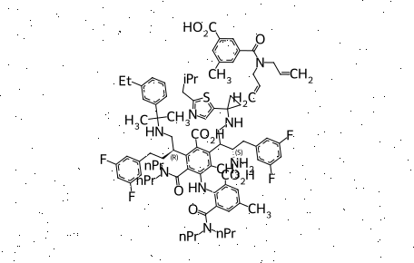 C=CCN(CC=C)C(=O)c1cc(C)cc(C(=O)O)c1.CCCN(CCC)C(=O)c1cc(C)cc(C(=O)O)c1Nc1c(C)c(C(CNC2(c3cnc(CC(C)C)s3)CC2)[C@@H](N)Cc2cc(F)cc(F)c2)c(C(=O)O)c([C@@H](CCc2cc(F)cc(F)c2)CNC(C)(C)c2cccc(CC)c2)c1C(=O)N(CCC)CCC